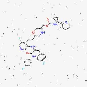 O=C(NC1(c2ccccn2)CC1)OC[C@@H]1CO[C@H](CCc2c(F)cncc2N[C@@H](Cc2ccc(F)cc2)C(=O)Nc2ccc(F)cc2)CN1